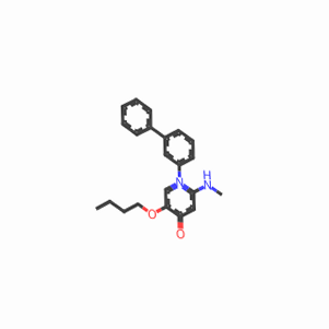 CCCCOc1cn(-c2cccc(-c3ccccc3)c2)c(NC)cc1=O